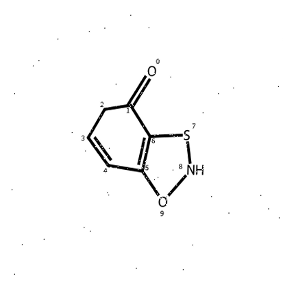 O=C1CC=CC2=C1SNO2